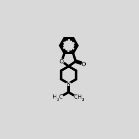 CC(C)N1CCC2(CC1)Oc1ccccc1C2=O